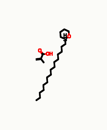 C=C(C)C(=O)O.CCCCCCCCCCCCCCCC[SiH]1CCCCO1